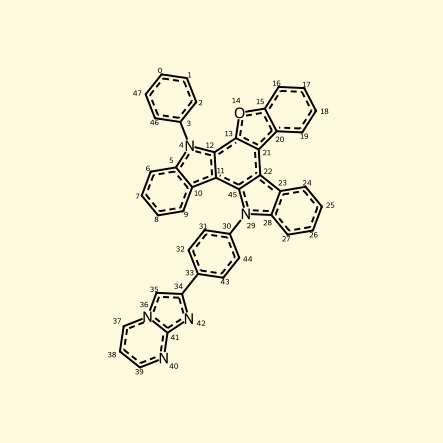 c1ccc(-n2c3ccccc3c3c2c2oc4ccccc4c2c2c4ccccc4n(-c4ccc(-c5cn6cccnc6n5)cc4)c23)cc1